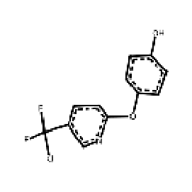 Oc1ccc(Oc2ccc(C(F)(F)Cl)cn2)cc1